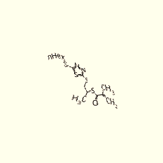 C=C(C)C(=O)SC(C)CSc1nnc(SCCCCCC)s1